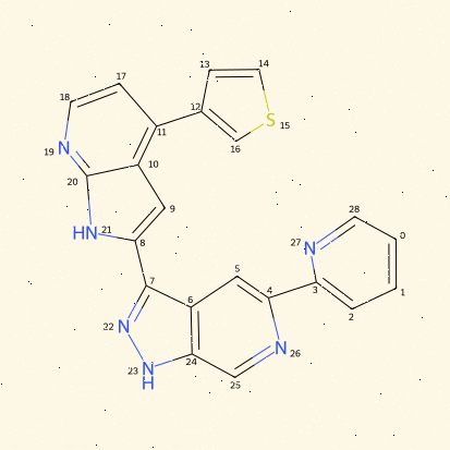 c1ccc(-c2cc3c(-c4cc5c(-c6ccsc6)ccnc5[nH]4)n[nH]c3cn2)nc1